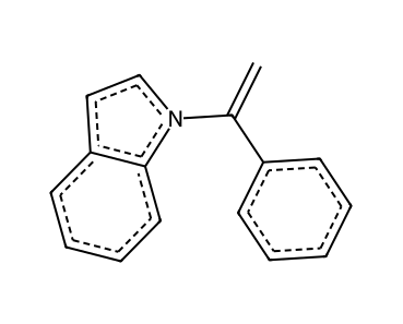 C=C(c1ccccc1)n1ccc2ccccc21